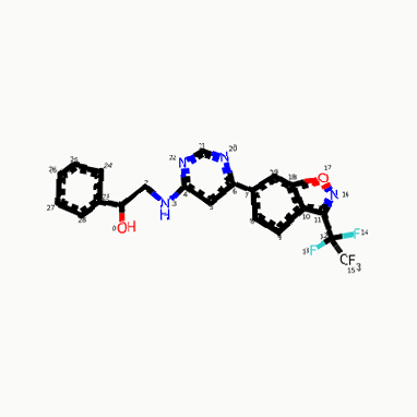 OC(CNc1cc(-c2ccc3c(C(F)(F)C(F)(F)F)noc3c2)ncn1)c1ccccc1